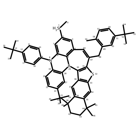 C[SiH2]c1cc2c3c(c1)N(c1ccc(C(C)(C)C)cc1)c1ccc(C(C)(C)C)cc1B3c1c(sc3cc4c(cc13)C(C)(C)CCC4(C)C)C(Cc1cc(C(C)(C)C)ccc1C)=C2